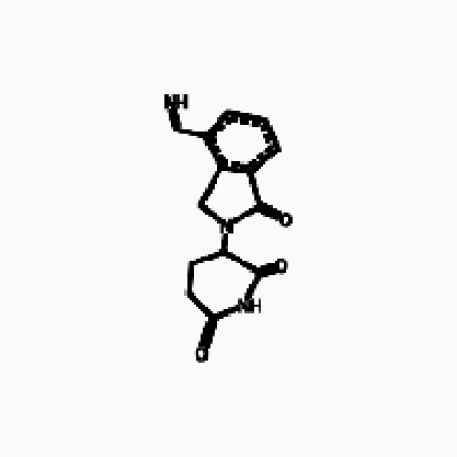 N=Cc1cccc2c1CN(C1CCC(=O)NC1=O)C2=O